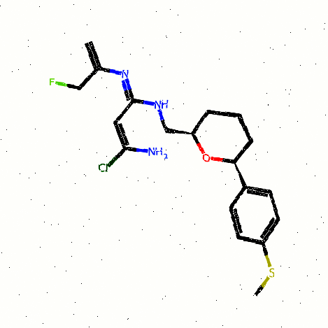 C=C(CF)/N=C(\C=C(/N)Cl)NC[C@H]1CCC[C@@H](c2ccc(SC)cc2)O1